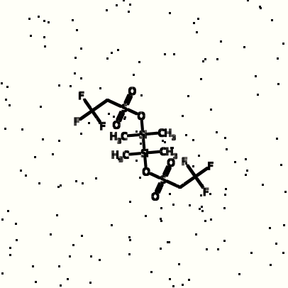 C[Si](C)(OS(=O)(=O)CC(F)(F)F)[Si](C)(C)OS(=O)(=O)CC(F)(F)F